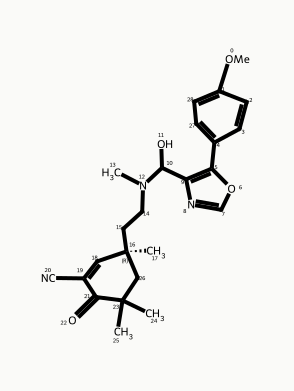 COc1ccc(-c2ocnc2C(O)N(C)CC[C@]2(C)C=C(C#N)C(=O)C(C)(C)C2)cc1